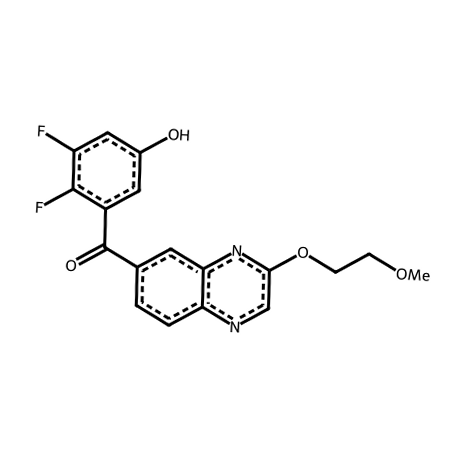 COCCOc1cnc2ccc(C(=O)c3cc(O)cc(F)c3F)cc2n1